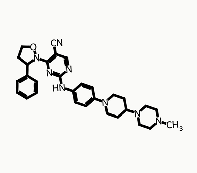 CN1CCN(C2CCN(c3ccc(Nc4ncc(C#N)c(N5OCCC5c5ccccc5)n4)cc3)CC2)CC1